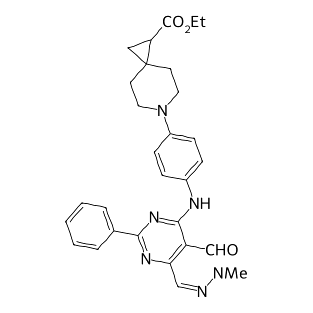 CCOC(=O)C1CC12CCN(c1ccc(Nc3nc(-c4ccccc4)nc(/C=N\NC)c3C=O)cc1)CC2